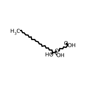 CCCCCCCCCCCCCCCCCCCCC(O)[C@H](CO)OCCCCCC(=O)O